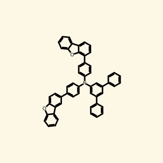 c1ccc(-c2cc(-c3ccccc3)cc(N(c3ccc(-c4ccc5oc6ccccc6c5c4)cc3)c3ccc(-c4cccc5c4oc4ccccc45)cc3)c2)cc1